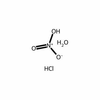 Cl.O.O=[N+]([O-])O